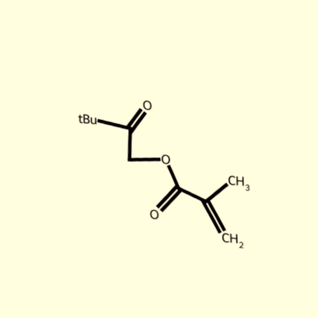 C=C(C)C(=O)OCC(=O)C(C)(C)C